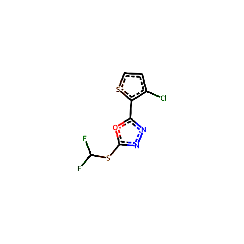 FC(F)Sc1nnc(-c2sccc2Cl)o1